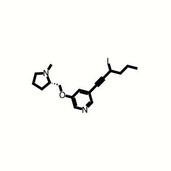 CCCC(I)C#Cc1cncc(OC[C@@H]2CCCN2C)c1